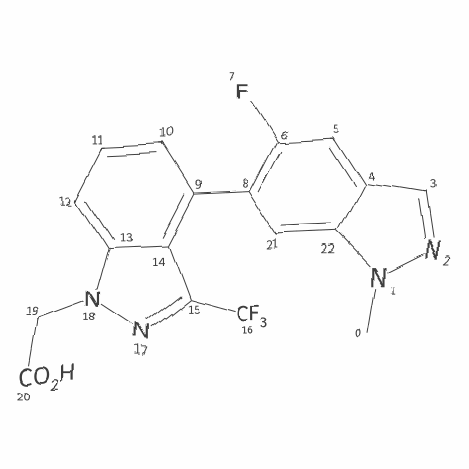 Cn1ncc2cc(F)c(-c3cccc4c3c(C(F)(F)F)nn4CC(=O)O)cc21